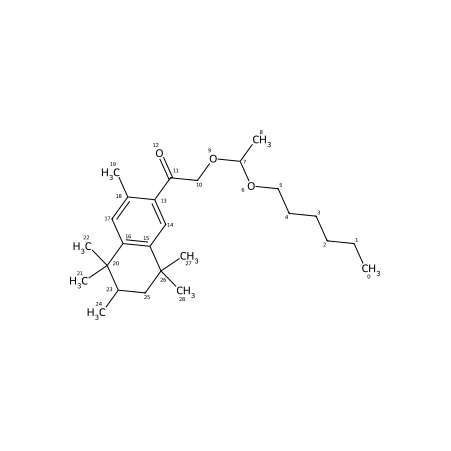 CCCCCCOC(C)OCC(=O)c1cc2c(cc1C)C(C)(C)C(C)CC2(C)C